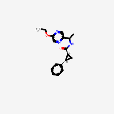 CC(NC(=O)[C@H]1C[C@@H]1c1ccccc1)c1cnc(OCC(F)(F)F)cn1